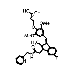 COc1cc(C=C2C(C)=C(CC(=O)NCc3ccccn3)c3cc(F)ccc32)cc(OC)c1OCCB(O)O